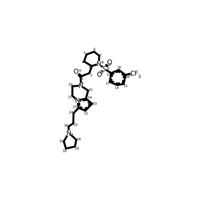 O=C(CC1CCCCN1S(=O)(=O)c1cccc(C(F)(F)F)c1)N1CCn2c(CCCN3CCCC3)ccc2C1